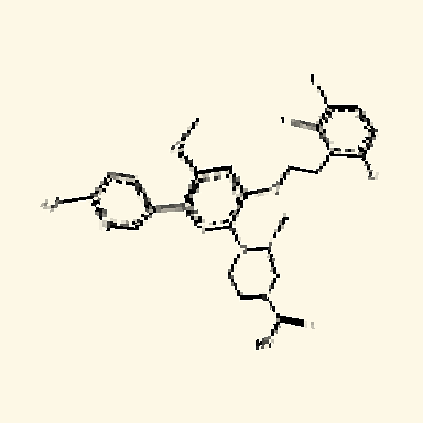 COc1cc(OCCc2c(Cl)ccc(F)c2Cl)c(N2CCN(C(=O)O)C[C@@H]2C)nc1-c1ccc(N)nc1